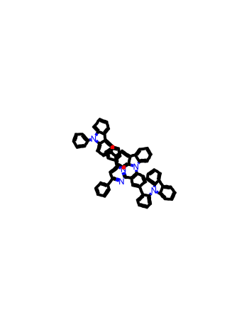 c1ccc(-c2cc(-c3ccccc3)nc(-c3cc(-c4ccccc4-n4c5ccccc5c5ccccc54)ccc3-n3c4ccccc4c4cc(-c5ccc6c(c5)c5ccccc5n6-c5ccccc5)ccc43)n2)cc1